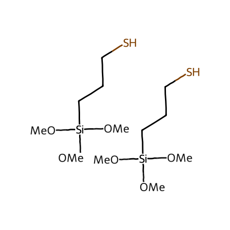 CO[Si](CCCS)(OC)OC.CO[Si](CCCS)(OC)OC